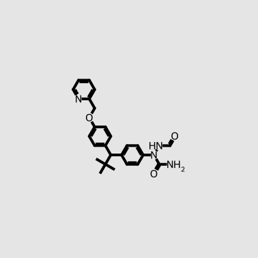 CC(C)(C)C(c1ccc(OCc2ccccn2)cc1)c1ccc(N(NC=O)C(N)=O)cc1